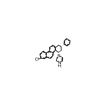 C1=CNCC=N1.Clc1ccc2c(ccc3c4c(ccc32)C[C@H](c2ccccc2)CC4)c1